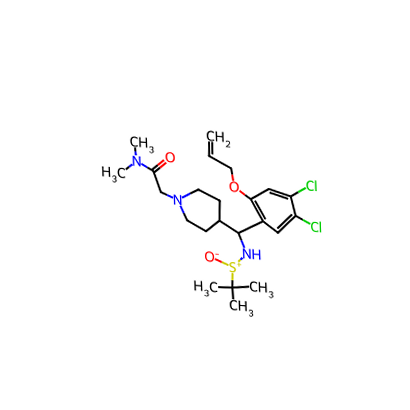 C=CCOc1cc(Cl)c(Cl)cc1C(N[S+]([O-])C(C)(C)C)C1CCN(CC(=O)N(C)C)CC1